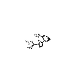 CN=C(N)c1ccc(-c2ccccc2[N+](=O)[O-])o1